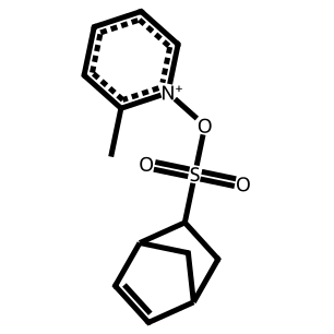 Cc1cccc[n+]1OS(=O)(=O)C1CC2C=CC1C2